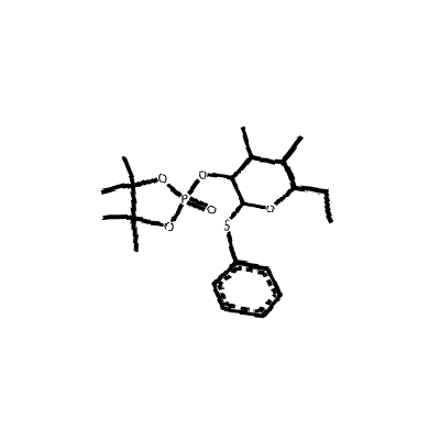 CCC1OC(Sc2ccccc2)C(OP2(=O)OC(C)(C)C(C)(C)O2)C(C)C1C